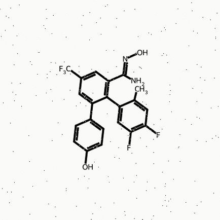 Cc1cc(F)c(F)cc1-c1c(/C(N)=N/O)cc(C(F)(F)F)cc1-c1ccc(O)cc1